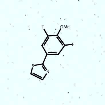 COc1c(F)cc(-c2nccs2)cc1F